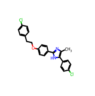 Cc1nc(-c2ccc(OCCc3ccc(Cl)cc3)cc2)[nH]c1-c1ccc(Cl)cc1